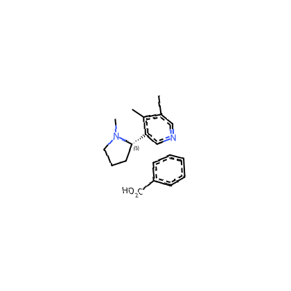 Cc1cncc([C@@H]2CCCN2C)c1C.O=C(O)c1ccccc1